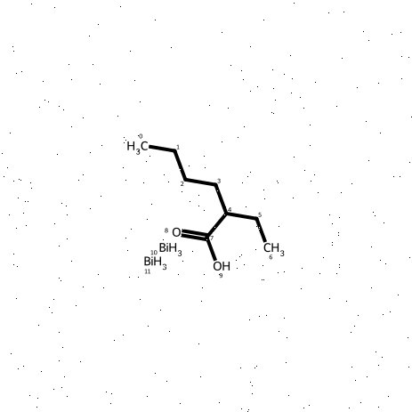 CCCCC(CC)C(=O)O.[BiH3].[BiH3]